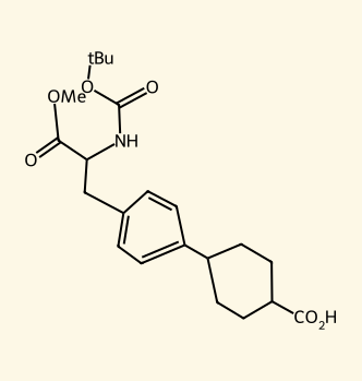 COC(=O)C(Cc1ccc(C2CCC(C(=O)O)CC2)cc1)NC(=O)OC(C)(C)C